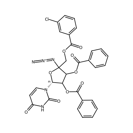 [N-]=[N+]=NC1(COC(=O)c2cccc(Cl)c2)O[C@@H](n2ccc(=O)[nH]c2=O)C(OC(=O)c2ccccc2)C1OC(=O)c1ccccc1